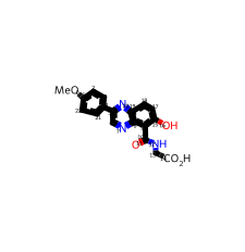 COc1ccc(-c2cnc3c(C(=O)NCC(=O)O)c(O)ccc3n2)cc1